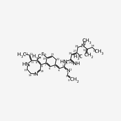 C=C/N=C(\C=C1C=C(C2=C(C)/C(=C/C)NCC/N=C\2)C(F)=CC\1)NC(=N)/C=C(\C)CN(C)C(=C)CC